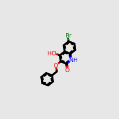 O=c1[nH]c2ccc(Br)cc2c(O)c1OCc1ccccc1